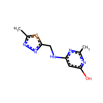 Cc1nc(O)cc(NCc2nnc(C)s2)n1